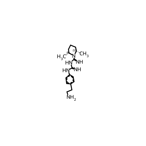 C[C@@H]1CCC[C@H](C)N1C(=N)NC(=N)Nc1ccc(CCN)cc1